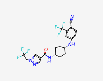 N#Cc1ccc(N[C@H]2CC[C@@H](NC(=O)c3cnn(CC(F)(F)F)c3)CC2)cc1C(F)(F)F